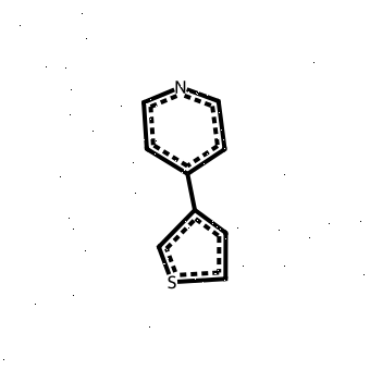 c1cc(-c2ccsc2)ccn1